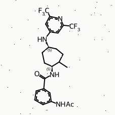 CC(=O)Nc1cccc(C(=O)N[C@H]2CC[C@@H](Nc3cc(C(F)(F)F)nc(C(F)(F)F)c3)CCC2C)c1